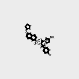 N[C@@H]1CCN(C(=O)[C@H](NS(=O)(=O)c2ccc3cc(OC4CCCC4)ccc3c2)C(F)(F)c2ccc(Br)cc2)C1